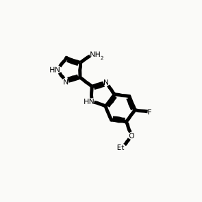 CCOc1cc2[nH]c(-c3n[nH]cc3N)nc2cc1F